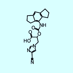 N#Cc1cn(CC(OC(=O)Nc2c3c(cc4c2CCC4)CCC3)C(=O)O)cn1